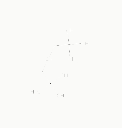 CC(C)(C)[CH2][Zn][CH2]C(C)(C)C